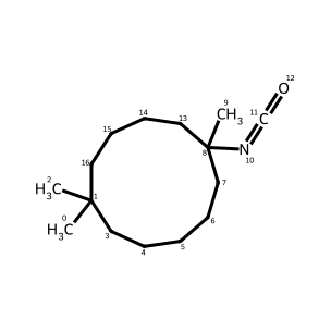 CC1(C)CCCCCC(C)(N=C=O)CCCC1